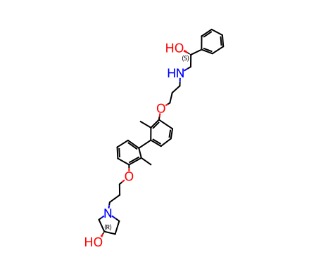 Cc1c(OCCCNC[C@@H](O)c2ccccc2)cccc1-c1cccc(OCCCN2CC[C@@H](O)C2)c1C